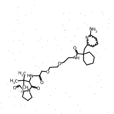 CC(C)(C)C(NC(=O)COCCOCCNC(=O)C1(Cc2cccc(N)n2)CCCCC1)C(=O)N1CCC[C@H]1C=O